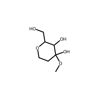 COC1(O)CCOC(CO)C1O